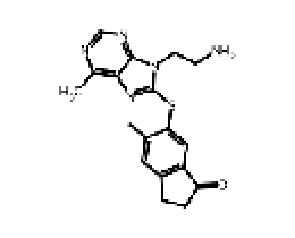 Cc1ncnc2c1nc(Sc1cc3c(cc1I)CCC3=O)n2CCN